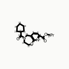 CC(C)OC(=O)c1ccc2c(n1)OCCN(C(=O)C1CCCCC1)C2